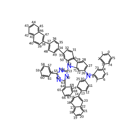 c1ccc(-c2cccc(N(c3ccc(-c4ccc5ccccc5c4)cc3)c3ccc4c5ccc(-c6ccc(-c7ccc8ccccc8c7)cc6)cc5n(-c5nc(-c6ccccc6)nc(-c6ccccc6)n5)c4c3)c2)cc1